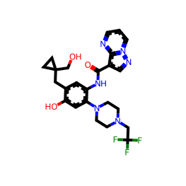 O=C(Nc1cc(CC2(CO)CC2)c(O)cc1N1CCN(CC(F)(F)F)CC1)c1cnn2cccnc12